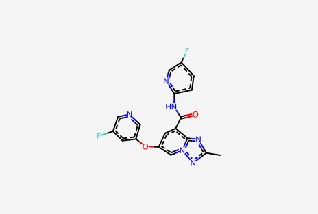 Cc1nc2c(C(=O)Nc3ccc(F)cn3)cc(Oc3cncc(F)c3)cn2n1